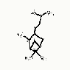 CC(O)CCC1CC2CC(C1C)C2(C)C